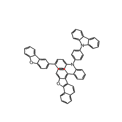 c1ccc(N(c2ccc(-c3ccc4oc5ccccc5c4c3)cc2)c2ccc(-n3c4ccccc4c4ccccc43)cc2)c(-c2cccc3oc4c5ccccc5ccc4c23)c1